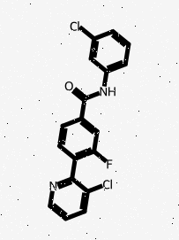 O=C(Nc1cccc(Cl)c1)c1ccc(-c2ncccc2Cl)c(F)c1